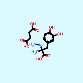 CC(Cc1ccc(O)c(O)c1)(NN)C(=O)O.O=C(O)CCC(=O)O